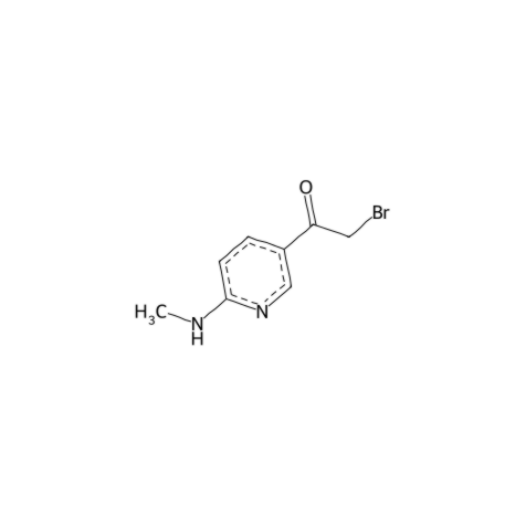 CNc1ccc(C(=O)CBr)cn1